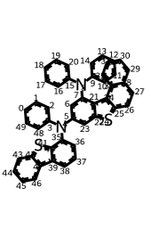 c1ccc(N(c2cc(N(c3ccccc3)c3ccccc3)c3c(c2)sc2ccc4ccccc4c23)c2cccc3c2sc2ccccc23)cc1